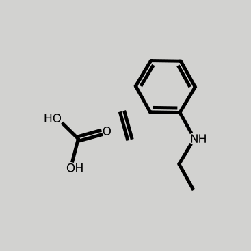 C=C.CCNc1ccccc1.O=C(O)O